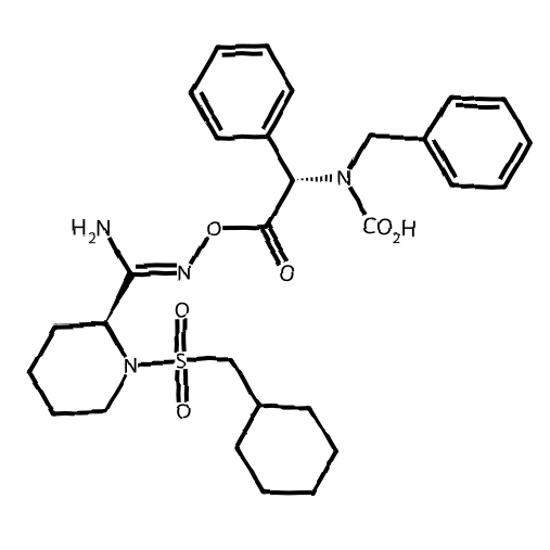 N/C(=N\OC(=O)[C@H](c1ccccc1)N(Cc1ccccc1)C(=O)O)[C@@H]1CCCCN1S(=O)(=O)CC1CCCCC1